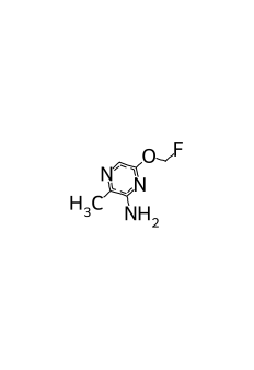 Cc1ncc(OCF)nc1N